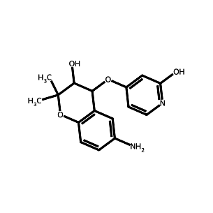 CC1(C)Oc2ccc(N)cc2C(Oc2ccnc(O)c2)C1O